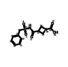 O=C(NS(=O)(=O)Cc1ccccc1)C1CN(C(=O)O)C1